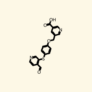 O=Cc1ccncc1Sc1ccc(OCc2cncc(C(=O)O)c2)cc1